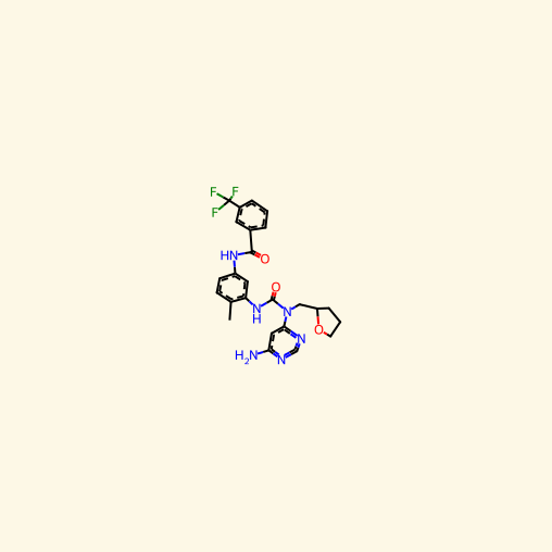 Cc1ccc(NC(=O)c2cccc(C(F)(F)F)c2)cc1NC(=O)N(CC1CCCO1)c1cc(N)ncn1